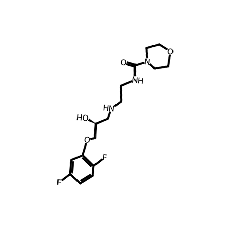 O=C(NCCNC[C@H](O)COc1cc(F)ccc1F)N1CCOCC1